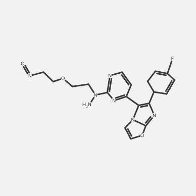 NN(CCOCCN=O)c1nccc(-c2c(C3C=CC(F)=CC3)nc3occn23)n1